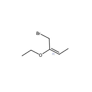 C/C=C(\CBr)OCC